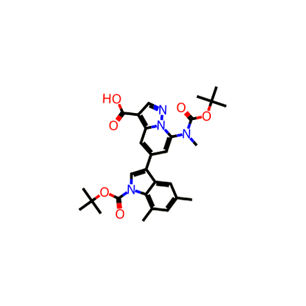 Cc1cc(C)c2c(c1)c(-c1cc(N(C)C(=O)OC(C)(C)C)n3ncc(C(=O)O)c3c1)cn2C(=O)OC(C)(C)C